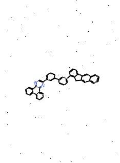 c1cc(-c2cccc(-c3cccc4c3Cc3cc5ccccc5cc3-4)c2)cc(-c2cnc3c4ccccc4c4ccccc4c3n2)c1